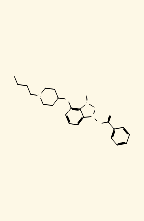 CCCCN1CCC(Oc2cccc3c2N(Cl)NN3OC(=O)c2ccccc2)CC1